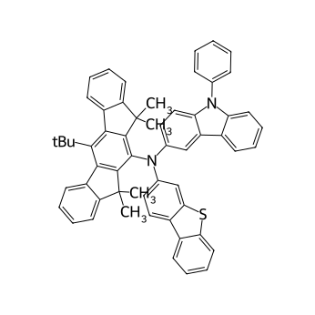 CC(C)(C)c1c2c(c(N(c3ccc4c(c3)sc3ccccc34)c3ccc4c(c3)c3ccccc3n4-c3ccccc3)c3c1-c1ccccc1C3(C)C)C(C)(C)c1ccccc1-2